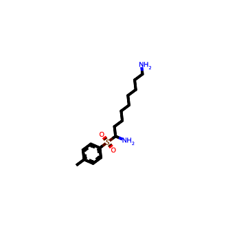 Cc1ccc(S(=O)(=O)C(N)CCCCCCCCN)cc1